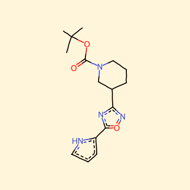 CC(C)(C)OC(=O)N1CCCC(c2noc(-c3ccc[nH]3)n2)C1